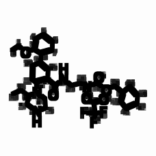 CCOc1ccccc1-c1ccc(N2CCNC[C@H]2CC)c(C(=O)NCCN(OC(=O)C(F)(F)F)C(=O)OCc2ccccc2)c1